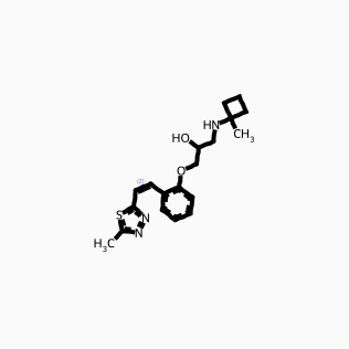 Cc1nnc(/C=C\c2ccccc2OCC(O)CNC2(C)CCC2)s1